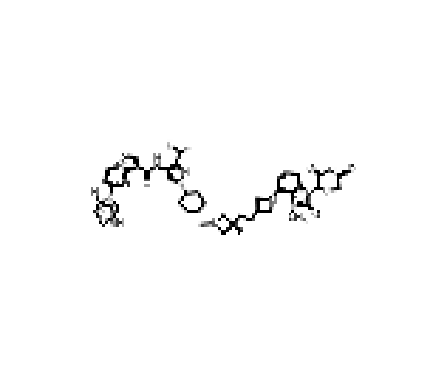 Cn1c(=O)n(C2CCC(=O)NC2=O)c2cccc(N3CC(CCC4(F)CN(C[C@H]5CC[C@H](n6cc(NC(=O)c7cnn8ccc(N9C[C@H]%10C[C@@H]9CO%10)nc78)c(C(F)F)n6)CC5)C4)C3)c21